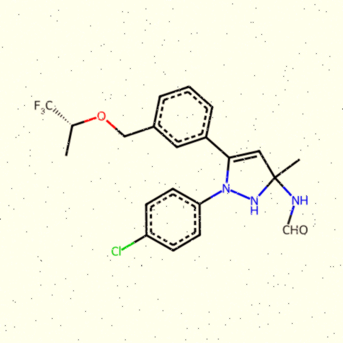 C[C@@H](OCc1cccc(C2=CC(C)(NC=O)NN2c2ccc(Cl)cc2)c1)C(F)(F)F